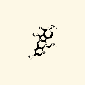 C=N/C=C\C1=C(C(=O)C(C)C)C(C)N(CC2=CC(C)=CNC2OCC(F)(F)F)C1=O